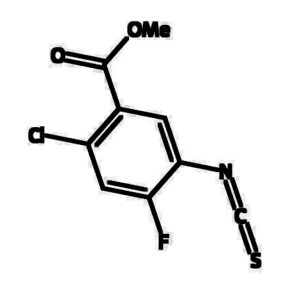 COC(=O)c1cc(N=C=S)c(F)cc1Cl